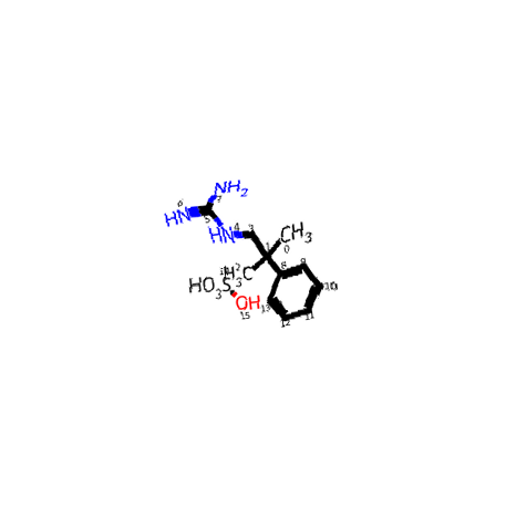 CC(C)(CNC(=N)N)c1ccccc1.O=S(=O)(O)O